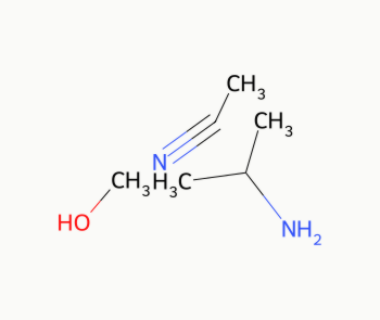 CC#N.CC(C)N.CO